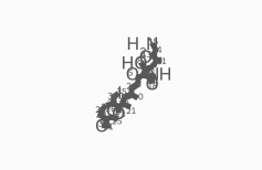 CC(/C=C/C(=O)C1=C(O)C(C(C)C(=O)CN)NC1=O)=C\C(C)C1OC2(C)OC(C=CC23CO3)C1CI